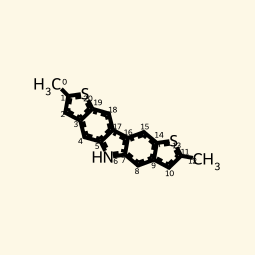 Cc1cc2cc3[nH]c4cc5cc(C)sc5cc4c3cc2s1